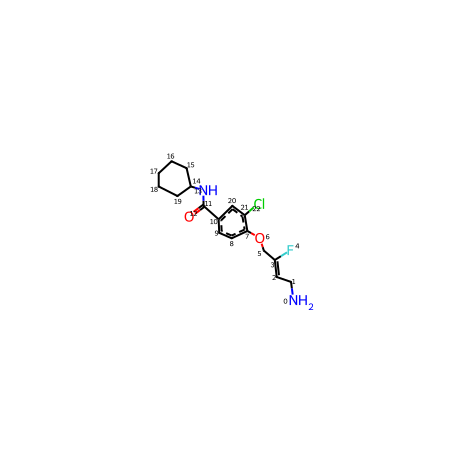 NCC=C(F)COc1ccc(C(=O)NC2CCCCC2)cc1Cl